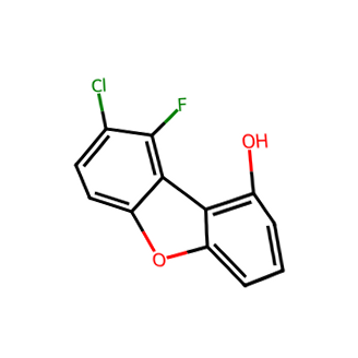 Oc1cccc2oc3ccc(Cl)c(F)c3c12